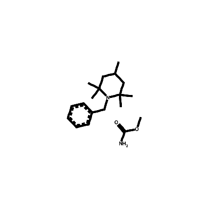 CC1CC(C)(C)N(Cc2ccccc2)C(C)(C)C1.COC(N)=O